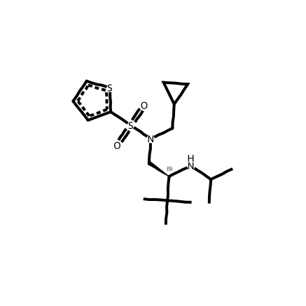 CC(C)N[C@H](CN(CC1CC1)S(=O)(=O)c1cccs1)C(C)(C)C